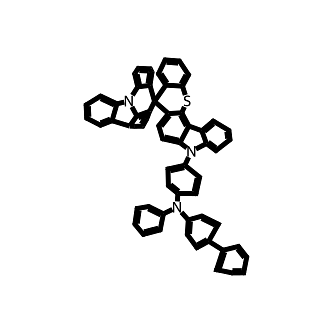 c1ccc(-c2ccc(N(c3ccccc3)c3ccc(-n4c5ccccc5c5c6c(ccc54)C4(c5ccccc5S6)c5ccccc5-n5c6ccccc6c6cccc4c65)cc3)cc2)cc1